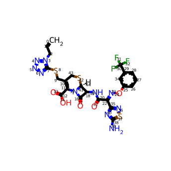 C=CCn1nnnc1SCC1=C(C(=O)O)N2C(=O)C(NC(=O)C(=NOc3cccc(C(F)(F)F)c3)c3nsc(N)n3)[C@@H]2SC1